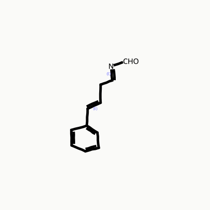 O=C/N=C/C/C=C/c1ccccc1